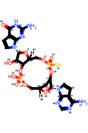 Nc1nc2c(ccn2[C@@H]2O[C@@H]3COP(=O)(S)OC4C(O)[C@@H](COP(=O)(O)OC3C2O)O[C@H]4n2ccc3c(N)ncnc32)c(=O)[nH]1